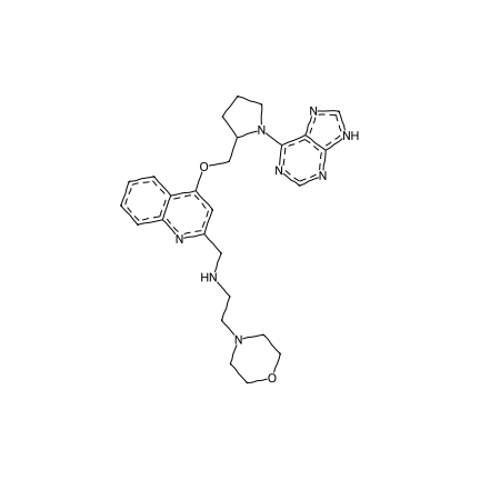 c1ccc2c(OCC3CCCN3c3ncnc4[nH]cnc34)cc(CNCCN3CCOCC3)nc2c1